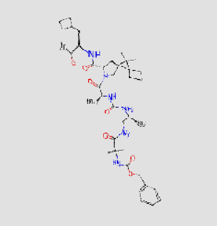 CC(=O)C(=O)C(CC1CCC1)NC(=O)[C@@H]1C[C@@]2(CN1C(=O)[C@@H](NC(=O)N[C@H](CNC(=O)C(C)(C)NC(=O)OCc1ccccc1)C(C)(C)C)C(C)(C)C)C(C)(C)C21CCC1